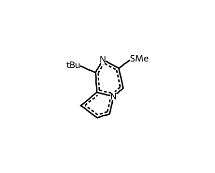 CSc1cn2cccc2c(C(C)(C)C)n1